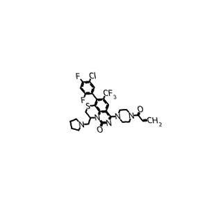 C=CC(=O)N1CCN(c2nc(=O)n3c4c(c(-c5cc(Cl)c(F)cc5F)c(C(F)(F)F)cc24)SCC3CN2CCCC2)CC1